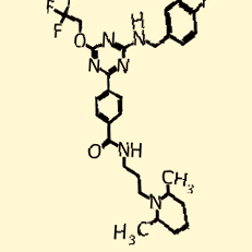 CC1CCCC(C)N1CCCNC(=O)c1ccc(-c2nc(NCc3ccc(F)cc3)nc(OCC(F)(F)F)n2)cc1